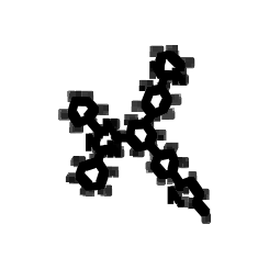 C=C/C=C\C(=N/C)c1ccc(-c2cc(-c3ccc(-c4ncccn4)cc3)cc(-c3nc(-c4ccccc4)nc(-c4ccccc4)n3)c2)cc1